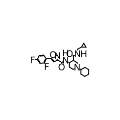 O=C(NC1CCN(C2CCCCC2)CC1C(=O)NCC1CC1)c1cc(-c2ccc(F)cc2F)on1